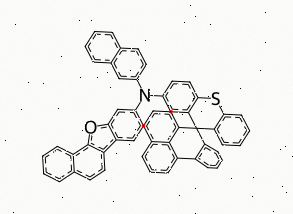 c1ccc2c(c1)Sc1ccc(N(c3ccc4ccccc4c3)c3ccc4c(c3)oc3c5ccccc5ccc43)cc1C21c2ccccc2-c2cccc3cccc1c23